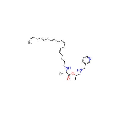 CC/C=C\CC=CCC=CC/C=C\C/C=C\CCCCN[C@H](C(=O)O[C@H](C)CNCc1cccnc1)C(C)C